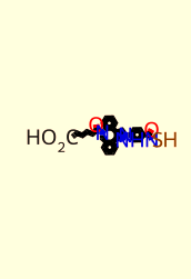 O=C(O)CCCCC(=O)N1Cc2ccccc2-c2nn(-c3ccc(C(=O)NS)cc3)cc2-c2ccccc21